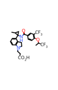 CC(Oc1ccc(C(=O)NC2(c3cccc4c3CCN4CCC(=O)O)CC2C)cc1C(F)(F)F)C(F)(F)F